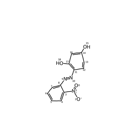 O=[N+]([O-])c1ccccc1N=Nc1ccc(O)cc1O